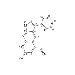 O=Cc1cc(=O)oc2cc3occ(-c4ccccc4)c3cc12